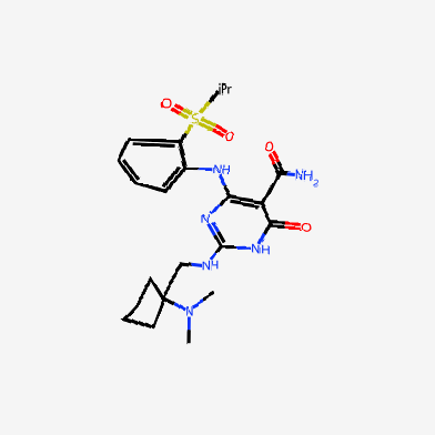 CC(C)S(=O)(=O)c1ccccc1Nc1nc(NCC2(N(C)C)CCC2)[nH]c(=O)c1C(N)=O